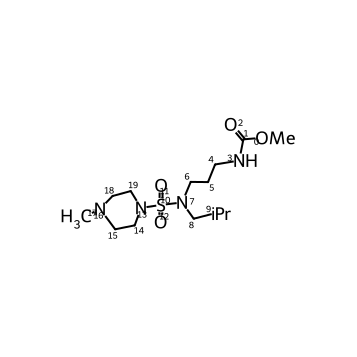 COC(=O)NCCCN(CC(C)C)S(=O)(=O)N1CCN(C)CC1